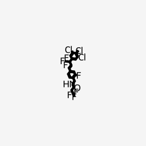 O=C(CC(F)(F)F)NCc1ccc(/C=C/C(c2cc(Cl)c(Cl)c(Cl)c2)C(F)(F)F)cc1F